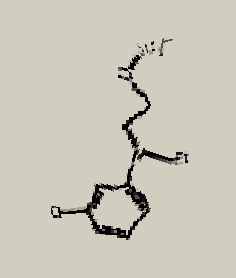 CCN(CCOS(=O)(=O)O)c1cccc(Cl)c1